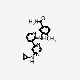 Cc1ccc(C(N)=O)cc1Nc1ncccc1-c1cc(NC2CC2)ncn1